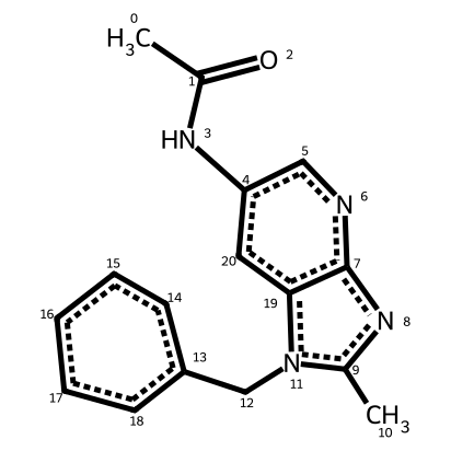 CC(=O)Nc1cnc2nc(C)n(Cc3ccccc3)c2c1